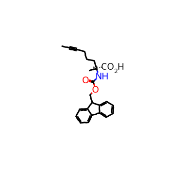 CC#CCCC[C@](C)(NC(=O)OCC1c2ccccc2-c2ccccc21)C(=O)O